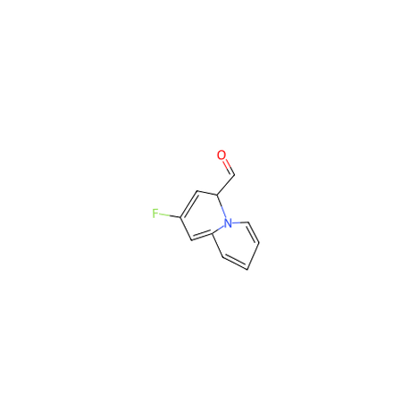 O=CC1C=C(F)C=C2C=CC=CN21